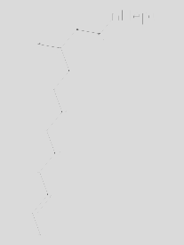 [CH2]C=CCCCCCCC(C)CCCCCCCC[CH2]